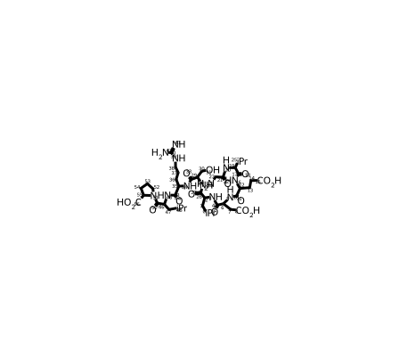 CC(C)CC(NC(=O)C(CC(=O)O)NC(=O)C(CCC(=O)O)NC(=O)C(NC(=O)CN)C(C)C)C(=O)NC(CO)C(=O)NC(CCCNC(=N)N)C(=O)NC(CC(C)C)C(=O)N1CCCC1C(=O)O